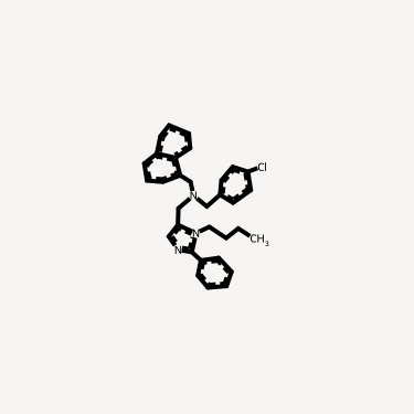 CCCCn1c(CN(Cc2ccc(Cl)cc2)Cc2cccc3ccccc23)cnc1-c1ccccc1